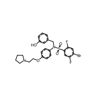 O=S(=O)(c1cc(F)c(Br)cc1F)N(Cc1cccc(O)c1)c1ccc(OCCN2CCCC2)cc1